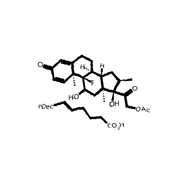 CC(=O)OCC(=O)[C@@]1(O)[C@H](C)C[C@H]2[C@@H]3CCC4=CC(=O)C=C[C@]4(C)[C@@]3(F)C(O)C[C@@]21C.CCCCCCCCCCCCCCCC(=O)O